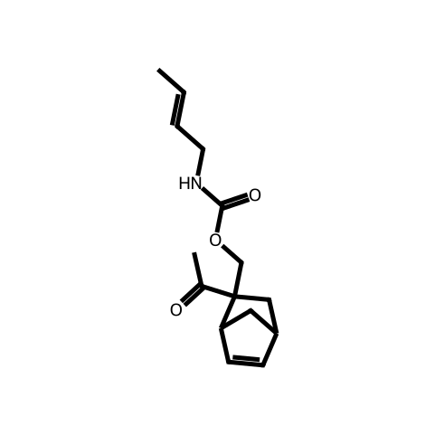 CC=CCNC(=O)OCC1(C(C)=O)CC2C=CC1C2